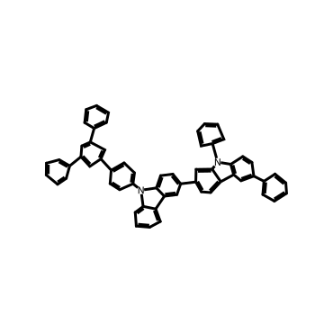 c1ccc(-c2cc(-c3ccccc3)cc(-c3ccc(-n4c5ccccc5c5cc(-c6ccc7c8cc(-c9ccccc9)ccc8n(-c8ccccc8)c7c6)ccc54)cc3)c2)cc1